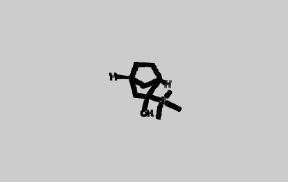 C[Si](C)(C)C1(O)C[C@@H]2CC[C@H]1C2